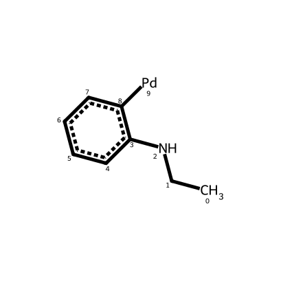 CCNc1cccc[c]1[Pd]